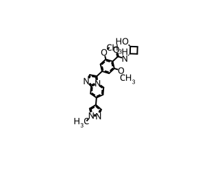 COc1cc(-c2cnc3cc(-c4cnn(C)c4)ccn23)cc(OC)c1C(=O)N[C@H]1CC[C@@H]1O